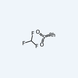 FC(F)F.O=[S](=O)=[Rh]